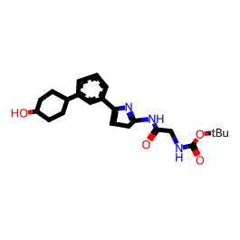 CC(C)(C)OC(=O)NCC(=O)NC1=NC(c2cccc(C3CCC(O)CC3)c2)=CC1